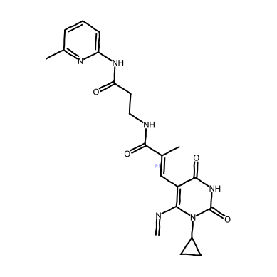 C=Nc1c(/C=C(\C)C(=O)NCCC(=O)Nc2cccc(C)n2)c(=O)[nH]c(=O)n1C1CC1